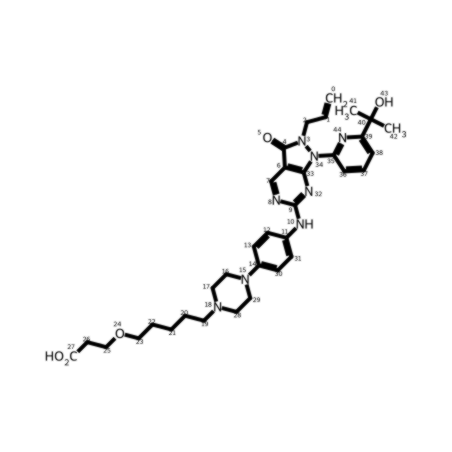 C=CCn1c(=O)c2cnc(Nc3ccc(N4CCN(CCCCCOCCC(=O)O)CC4)cc3)nc2n1-c1cccc(C(C)(C)O)n1